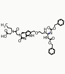 CCCN(CC(=O)O)C(=O)Cn1cc2cc(COCCN/C(=N\C(=O)OCc3ccccc3)NC(=O)OCc3ccccc3)[nH]c2nc1=O